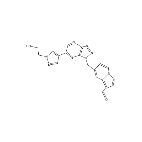 O=Cc1cnn2ccc(Cn3nnc4ncc(-c5cnn(CCO)c5)nc43)cc12